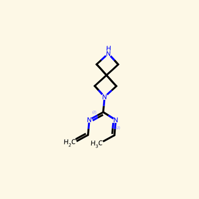 C=C/N=C(\N=C/C)N1CC2(CNC2)C1